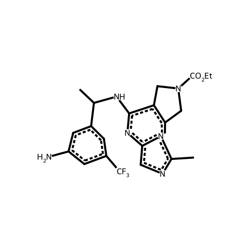 CCOC(=O)N1Cc2c(NC(C)c3cc(N)cc(C(F)(F)F)c3)nc3cnc(C)n3c2C1